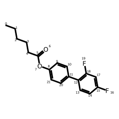 CCCCCC(=O)Oc1ccc(-c2ccc(F)cc2F)cc1